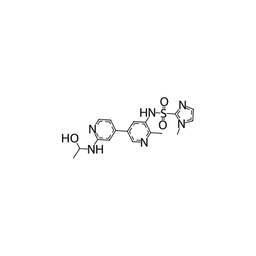 Cc1ncc(-c2ccnc(NC(C)O)c2)cc1NS(=O)(=O)c1nccn1C